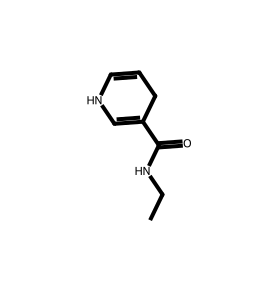 CCNC(=O)C1=CNC=CC1